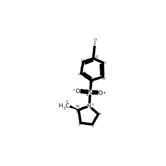 C[C@@H]1CCCN1S(=O)(=O)c1ccc(I)cc1